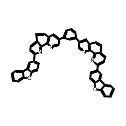 c1cc(-c2cnc3c(ccc4ccc(-c5ccc6oc7ccccc7c6c5)nc43)c2)cc(-c2cnc3c(ccc4ccc(-c5ccc6oc7ccccc7c6c5)nc43)c2)c1